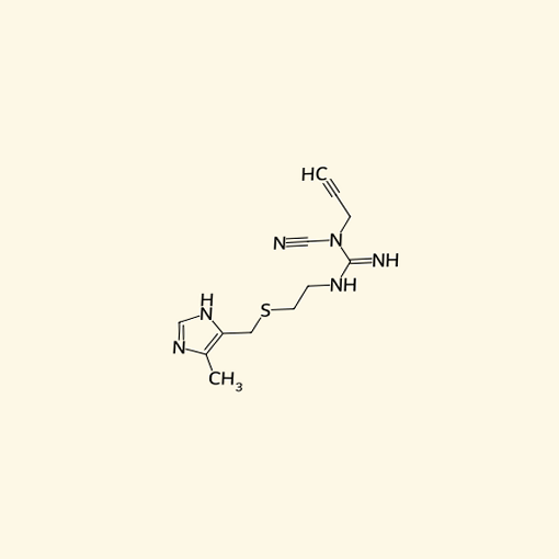 C#CCN(C#N)C(=N)NCCSCc1[nH]cnc1C